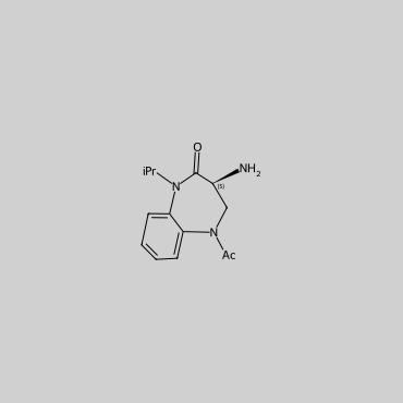 CC(=O)N1C[C@H](N)C(=O)N(C(C)C)c2ccccc21